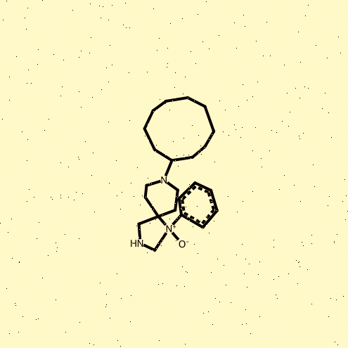 [O-][N+]1(c2ccccc2)CNCC12CCN(C1CCCCCCCCC1)CC2